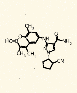 CC1=C(C)c2cc(Nc3nn([C@H]4CCCC4C#N)cc3C(N)=O)cc(C)c2OB1O